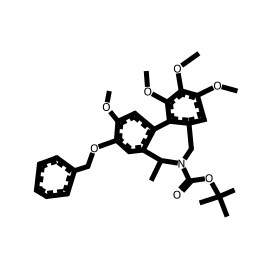 COc1cc2c(cc1OCc1ccccc1)C(C)N(C(=O)OC(C)(C)C)Cc1cc(OC)c(OC)c(OC)c1-2